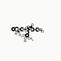 CCON1CCC([C@@H]2CCN(C(=O)C(Cc3cc(C)c(O)c(C)c3)OC(=O)N3CCC(N4CCc5ccccc5NC4=O)CC3)C3(C2)C(=O)C3=O)CC1